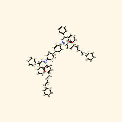 C(=C(c1ccccc1)c1ccccc1)N(c1ccc(/C=C/C=C/c2ccccc2)cc1)c1ccc(-c2ccc(N(C=C(c3ccccc3)c3ccccc3)c3ccc(/C=C/C=C/c4ccccc4)cc3)cc2)cc1